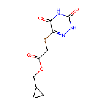 O=C(CSc1n[nH]c(=O)[nH]c1=O)OCC1CC1